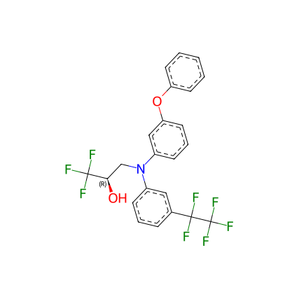 O[C@H](CN(c1cccc(Oc2ccccc2)c1)c1cccc(C(F)(F)C(F)(F)F)c1)C(F)(F)F